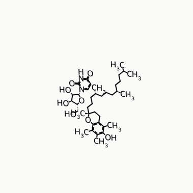 Cc1c(C)c2c(c(C)c1O)CC[C@@](C)(CCC[C@H](C)CCC[C@H](C)CCCC(C)C)O2.O=c1ccn([C@@H]2O[C@H](CO)[C@@H](O)[C@H]2O)c(=O)[nH]1